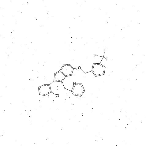 FC(F)(F)c1cccc(COc2ccc3cc(-c4ccccc4Cl)n(Cc4ccccn4)c3c2)c1